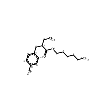 CCCCCCOC(=O)C(CC)Cc1ccc(O)cc1